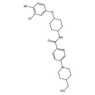 N#Cc1ccc(OC2CCC(NC(=O)c3ccc(N4CCC(CO)CC4)cn3)CC2)cc1Cl